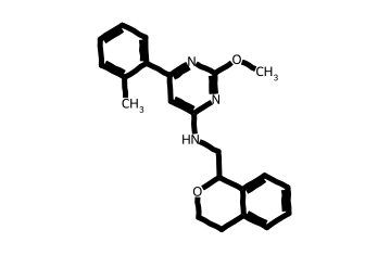 COc1nc(NCC2OCCc3ccccc32)cc(-c2ccccc2C)n1